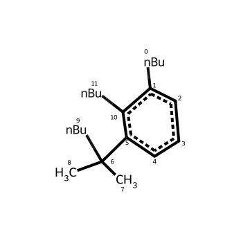 CCCCc1cccc(C(C)(C)CCCC)c1CCCC